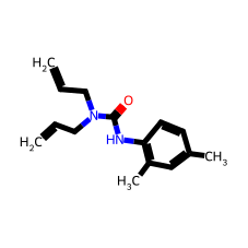 C=CCN(CC=C)C(=O)Nc1ccc(C)cc1C